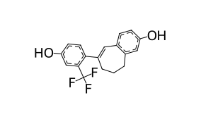 Oc1ccc2c(c1)CCCC(c1ccc(O)cc1C(F)(F)F)=C2